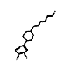 F/C=C/CCCCC1CCC(c2ccc(F)c(F)c2)CC1